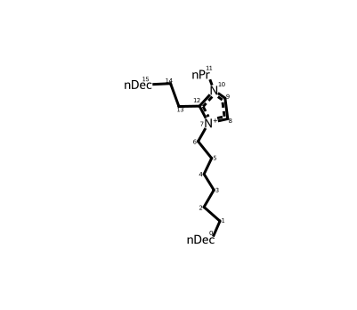 CCCCCCCCCCCCCCCC[n+]1ccn(CCC)c1CCCCCCCCCCCC